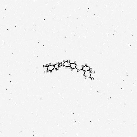 O=C1CCc2c(Oc3ccc4c(c3)CC(c3nc5cc(F)c(F)cc5[nH]3)CO4)ccnc2N1